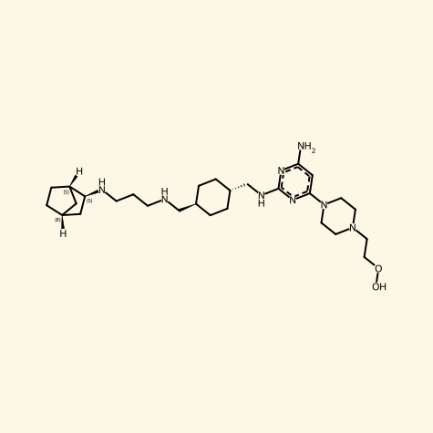 Nc1cc(N2CCN(CCOO)CC2)nc(NC[C@H]2CC[C@H](CNCCCN[C@H]3C[C@@H]4CC[C@H]3C4)CC2)n1